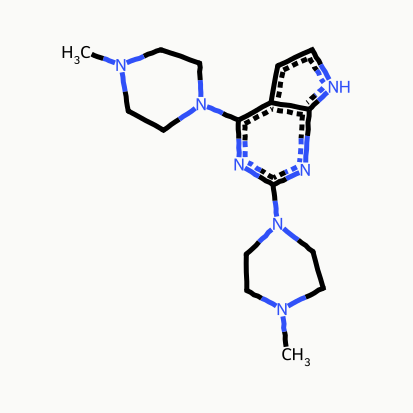 CN1CCN(c2nc(N3CCN(C)CC3)c3cc[nH]c3n2)CC1